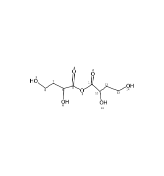 O=C(OC(=O)C(O)CCO)C(O)CCO